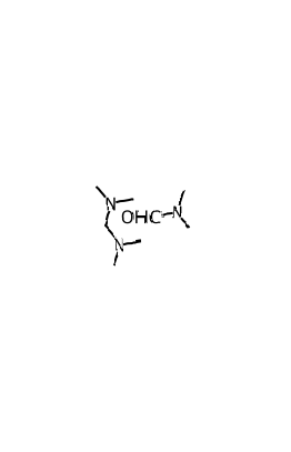 CN(C)C=O.CN(C)CN(C)C